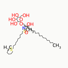 CCCCCCCCCCCCCCC[C@@H](O)[C@H](COC1OC(CO)C(O)C(O)C1O)N=S(C)(=O)CCCCCCCCCCS1(C)CCCCC1